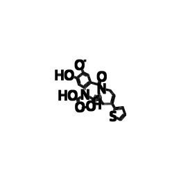 COc1cc2c(cc1O)N(C(=O)O)C(OC)[C@@H]1CC(c3cccs3)=CCN1C2=O